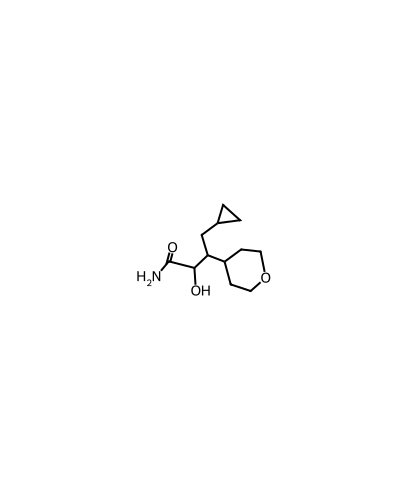 NC(=O)C(O)C(CC1CC1)C1CCOCC1